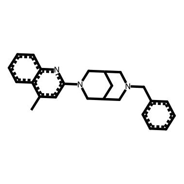 Cc1cc(N2CC3CC(CN(Cc4ccccc4)C3)C2)nc2ccccc12